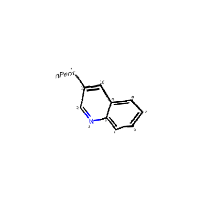 CCCCCc1cnc2ccccc2c1